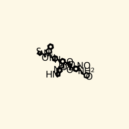 O=C(NS(=O)(=O)c1ccc(NCC2CCOCC2)c([N+](=O)[O-])c1)c1ccc(N2CCN(C[C@H]3Cc4ccccc4CN3C(=O)c3ccsc3)CC2)cc1Oc1cnc2[nH]ccc2c1